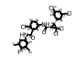 Cc1cc(NC(=O)c2cc(NC(=O)[C@H]3[C@H](c4cc(Cl)cc(Cl)c4)C3(Cl)Cl)ccc2Cl)cc(C)c1F